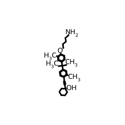 CCC(CC)(c1ccc(C#CC2(O)CCCCC2)c(C)c1)c1ccc(OCCCCCN)c(C)c1